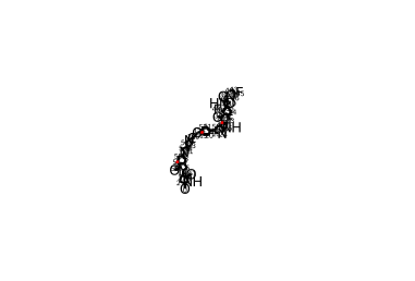 O=C1CCC(N2Cc3cc(N4CC5(CN(CCOc6ccc(-c7cnc8[nH]cc(C(=O)c9c(F)ccc(NS(=O)(=O)N%10CC[C@@H](F)C%10)c9F)c8c7)cc6)C5)C4)ccc3C2=O)C(=O)N1